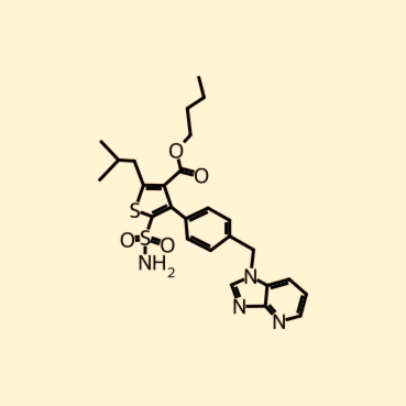 CCCCOC(=O)c1c(CC(C)C)sc(S(N)(=O)=O)c1-c1ccc(Cn2cnc3ncccc32)cc1